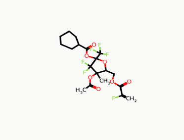 C=C(F)C(=O)OCC1OC(OC(=O)C2CCCCC2)(C(F)(F)F)C(F)(F)C1(C)OC(C)=O